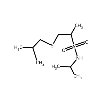 CC(C)CSCC(C)S(=O)(=O)NC(C)C